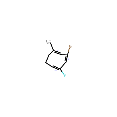 C\C1=C/C(Br)=C\C(F)=C/CC1